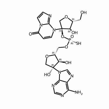 Nc1ncnc2c1ncn2[C@@]1(O)CO[C@H](CO[P@@](=O)(S)O[C@@]2(n3ccc(=O)n4ccnc34)CO[C@H](CO)[C@H]2O)[C@H]1O